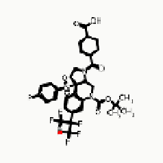 CC(C)(C)OC(=O)N1CC2N(C(=O)C3CCC(C(=O)O)CC3)CCC2(S(=O)(=O)c2ccc(F)cc2)c2ccc(C(F)(C(F)(F)F)C(F)(F)F)cc21